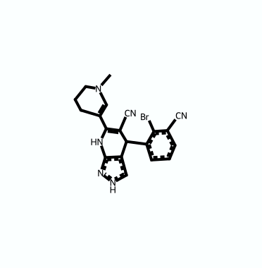 CN1C=C(C2=C(C#N)C(c3cccc(C#N)c3Br)c3c[nH]nc3N2)CCC1